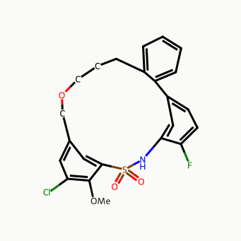 COc1c(Cl)cc2cc1S(=O)(=O)Nc1cc(ccc1F)-c1ccccc1CCCOC2